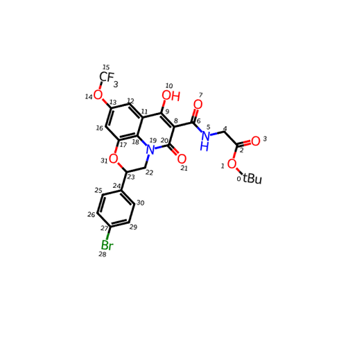 CC(C)(C)OC(=O)CNC(=O)c1c(O)c2cc(OC(F)(F)F)cc3c2n(c1=O)CC(c1ccc(Br)cc1)O3